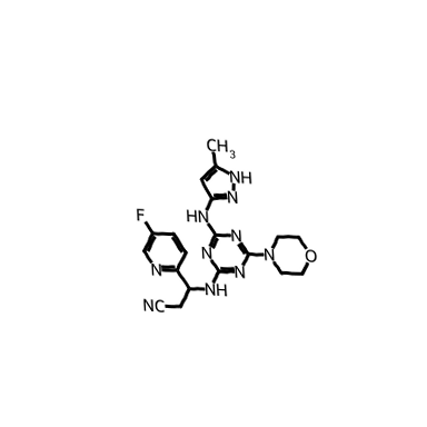 Cc1cc(Nc2nc(NC(CC#N)c3ccc(F)cn3)nc(N3CCOCC3)n2)n[nH]1